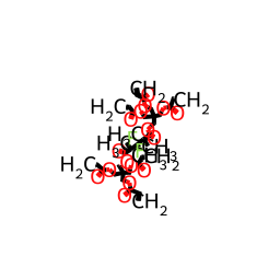 C=CC(=O)OCC(COC(=O)C=C)(COC(=O)C=C)COC(=O)C(C)(C)C(F)(F)C(C)(C)C(=O)OCC(COC(=O)C=C)(COC(=O)C=C)COC(=O)C=C